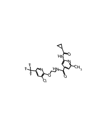 Cc1cc(C(=O)NCCOc2ncc(C(F)(F)F)cc2Cl)cc(NC(=O)C2CC2)n1